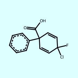 O=C(O)C1(c2ccccc2)C=CC(F)(Cl)C=C1